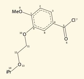 COc1ccc(C(=O)Cl)cc1OCCOC(C)C